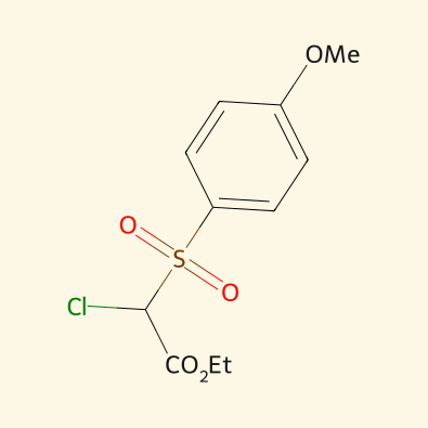 CCOC(=O)C(Cl)S(=O)(=O)c1ccc(OC)cc1